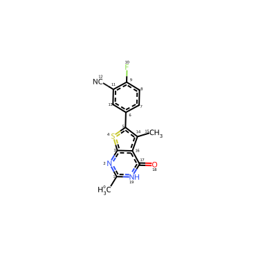 Cc1nc2sc(-c3ccc(F)c(C#N)c3)c(C)c2c(=O)[nH]1